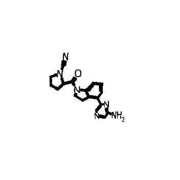 N#CN1CCCC1C(=O)N1CCc2c(-c3cncc(N)n3)cccc21